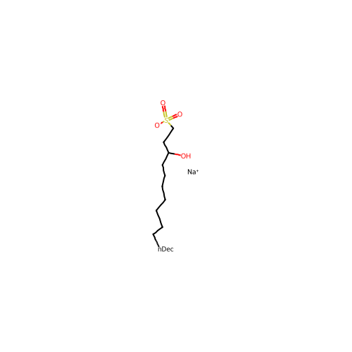 CCCCCCCCCCCCCCCCCC(O)CCS(=O)(=O)[O-].[Na+]